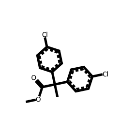 COC(=O)C(C)(c1ccc(Cl)cc1)c1ccc(Cl)cc1